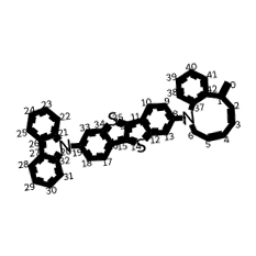 C=C1/C=C\C=C/CN(c2ccc3c(c2)sc2c4ccc(-n5c6ccccc6c6ccccc65)cc4sc32)c2ccccc21